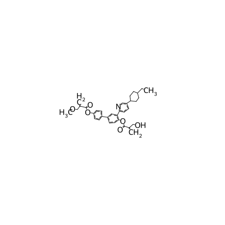 C=C(COC)C(=O)Oc1ccc(-c2ccc(OC(=O)C(=C)CO)c(-c3ccc(C4CCC(CC)CC4)cn3)c2)cc1